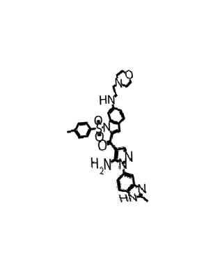 Cc1ccc(S(=O)(=O)n2c(C(=O)c3cnn(-c4ccc5[nH]c(C)nc5c4)c3N)cc3ccc(NCCN4CCOCC4)cc32)cc1